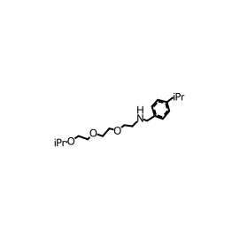 CC(C)OCCOCCOCCNCc1ccc(C(C)C)cc1